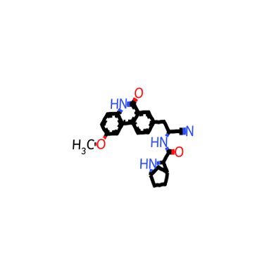 COc1ccc2[nH]c(=O)c3cc(CC(C#N)NC(=O)C4NC5CCC4C5)ccc3c2c1